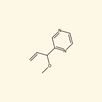 C=CC(OC)c1cnccn1